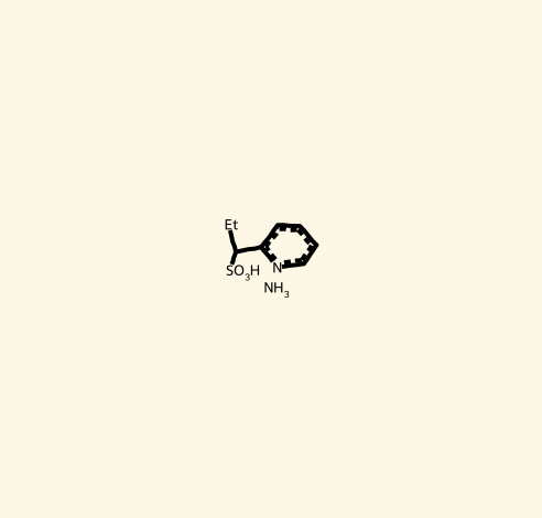 CCC(c1ccccn1)S(=O)(=O)O.N